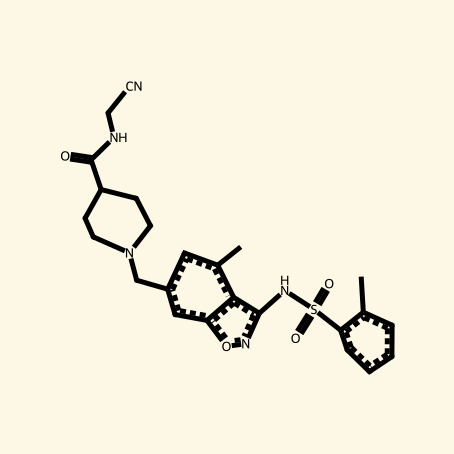 Cc1ccccc1S(=O)(=O)Nc1noc2cc(CN3CCC(C(=O)NCC#N)CC3)cc(C)c12